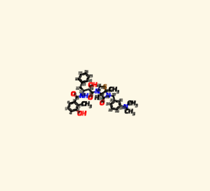 Cc1c(O)cccc1C(=O)N[C@@H](Cc1ccccc1)[C@H](O)C(=O)N1CSC2(C)[C@H]1C(=O)N2Cc1cccc(N(C)C)c1